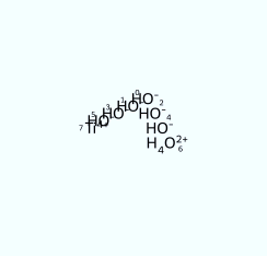 [OH-].[OH-].[OH-].[OH-].[OH-].[OH-].[OH4+2].[Ti+4]